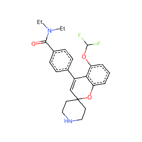 CCN(CC)C(=O)c1ccc(C2=CC3(CCNCC3)Oc3cccc(OC(F)F)c32)cc1